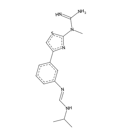 CC(C)NC=Nc1cccc(-c2csc(N(C)C(=N)N)n2)c1